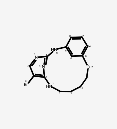 Brc1cnc2nc1NCCCCOc1cccc(c1)N2